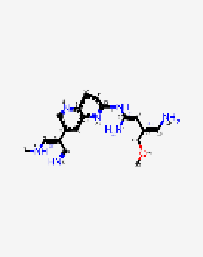 CN/C=C(\C=N)c1cnc2ccc(N/C(N)=C/C(=C\N)COC)nc2c1